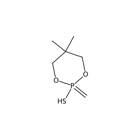 C=P1(S)OCC(C)(C)CO1